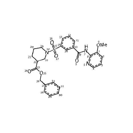 COc1cccnc1NC(=O)c1cccc(S(=O)(=O)N2CCCC(C(=O)OCc3ccccc3)C2)c1